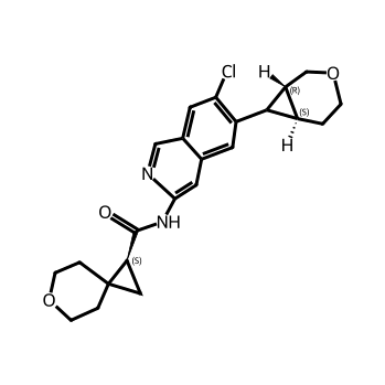 O=C(Nc1cc2cc(C3[C@@H]4CCOC[C@@H]34)c(Cl)cc2cn1)[C@H]1CC12CCOCC2